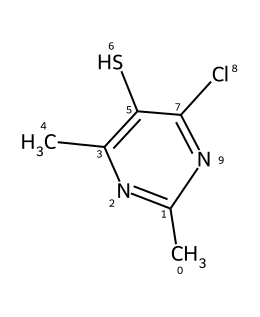 Cc1nc(C)c(S)c(Cl)n1